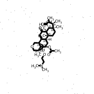 CC(=O)O[C@@H]1C[C@]23COC[C@@](C)([C@@H]2CC[C@H]2C3=CC(=O)[C@@]3(C)[C@H](C(=O)O)[C@@](C)([C@H](C)C(C)C)CC[C@]23C)[C@H]1OCCN(C)C